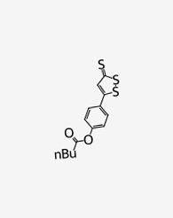 CCCCC(=O)Oc1ccc(-c2cc(=S)ss2)cc1